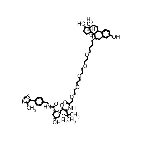 Cc1ncsc1-c1ccc(CNC(=O)[C@@H]2C[C@@H](O)CN2C(=O)[C@@H](NC(=O)COCCOCCOCCOCCOCCCC[C@@H]2Cc3cc(O)ccc3C3CC[C@]4(C)[C@@H](O)CC[C@H]4[C@@H]32)C(C)(C)C)cc1